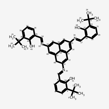 CC(C)(C)c1cccc(/C=N/C2=Cc3cc(/N=C/c4cccc(C(C)(C)C)c4O)cc4cc(/N=C/c5cccc(C(C)(C)C)c5O)cc(c34)C2)c1O